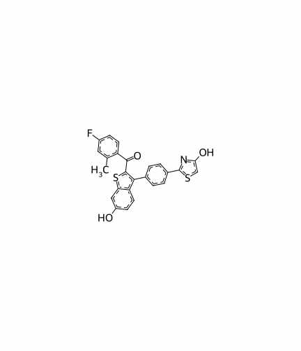 Cc1cc(F)ccc1C(=O)c1sc2cc(O)ccc2c1-c1ccc(-c2nc(O)cs2)cc1